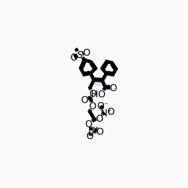 CS(=O)(=O)c1ccc(/C(COC(=O)OCC(O[N+](=O)[O-])O[N+](=O)[O-])=C(/C(=O)O)c2ccccc2)cc1